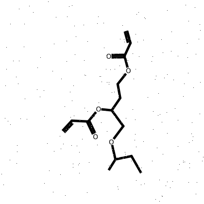 C=CC(=O)OCCC(COC(C)CC)OC(=O)C=C